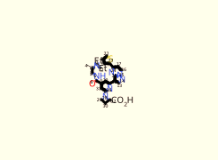 CCN(CC)[C@@H](C)CNC(=O)c1cc(-c2cnn3ccc(-c4cccs4)nc23)nc(N2CCC2C(=O)O)c1